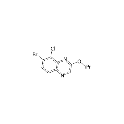 CC(C)Oc1cnc2ccc(Br)c(Cl)c2n1